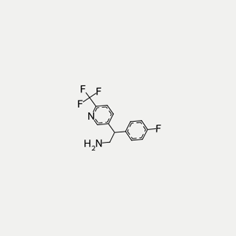 NCC(c1ccc(F)cc1)c1ccc(C(F)(F)F)nc1